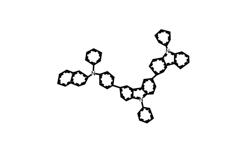 c1ccc(N(c2ccc(-c3ccc4c(c3)c3cc(-c5ccc6c(c5)c5ccccc5n6-c5ccccc5)ccc3n4-c3ccccc3)cc2)c2ccc3ccccc3c2)cc1